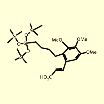 COc1cc(C=CC(=O)O)c(CCCC[Si](O[Si](C)(C)C)(O[Si](C)(C)C)O[Si](C)(C)C)c(OC)c1OC